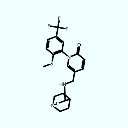 CSc1ccc(C(F)(F)F)cc1-n1cc(CNC2CN3CCC2CC3)ccc1=O